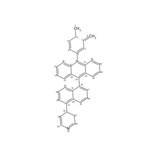 C=C/C=C(\C=C/CC)c1c2ccccc2c(-c2cccc3c(C4C=CN=CC4)cccc23)c2ccccc12